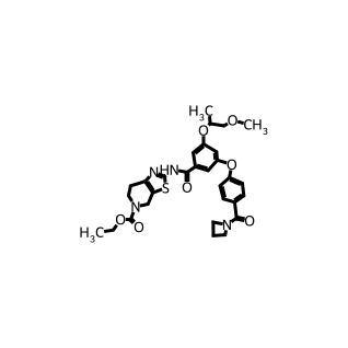 CCOC(=O)N1CCc2nc(NC(=O)c3cc(Oc4ccc(C(=O)N5CCC5)cc4)cc(OC(C)COC)c3)sc2C1